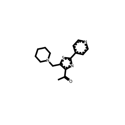 CC(=O)c1nc(-c2ccncc2)sc1CN1CCCCC1